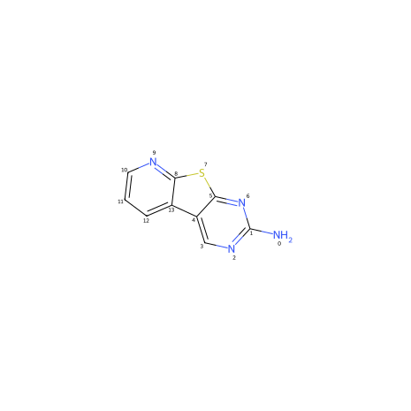 Nc1ncc2c(n1)sc1ncccc12